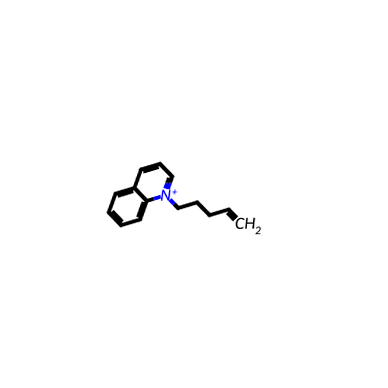 C=CCCC[n+]1cccc2ccccc21